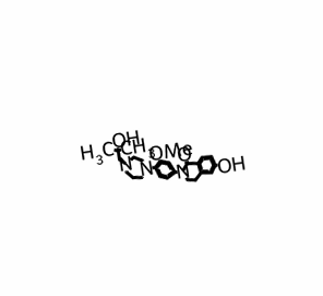 COc1cc(N2CCc3cc(O)ccc3C2=O)ccc1N1CCCN(CC(C)(C)O)CC1